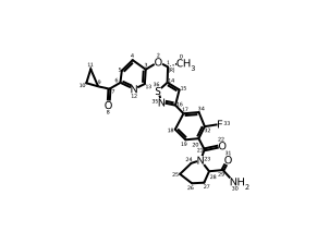 C[C@@H](Oc1ccc(C(=O)C2CC2)nc1)c1cc(-c2ccc(C(=O)N3CCCCC3C(N)=O)c(F)c2)ns1